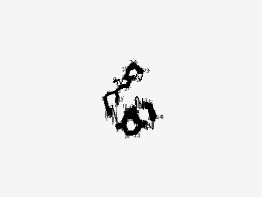 Cn1c(C2CCCN(Cc3ccc4nccnc4c3)C2)cc2ncccc21